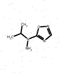 CC(C)N(N)c1ncno1